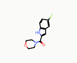 O=C(c1cc2cc(F)ccc2[nH]1)N1CCOCC1